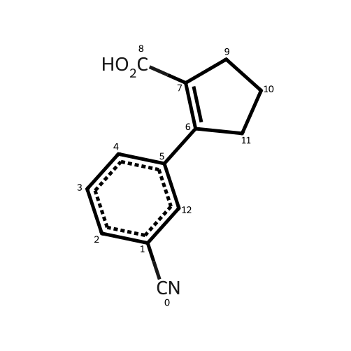 N#Cc1cccc(C2=C(C(=O)O)CCC2)c1